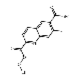 CCCC(=O)c1cc2ccc(C(=O)OOCC)nc2cc1C